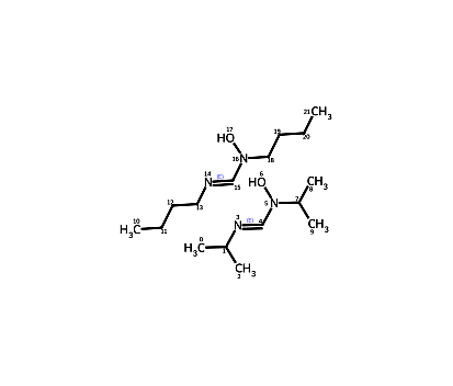 CC(C)/N=C/N(O)C(C)C.CCCC/N=C/N(O)CCCC